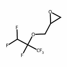 FC(F)C(F)(OCC1CO1)C(F)(F)F